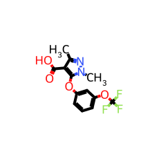 Cc1nn(C)c(Oc2cccc(OC(F)(F)F)c2)c1C(=O)O